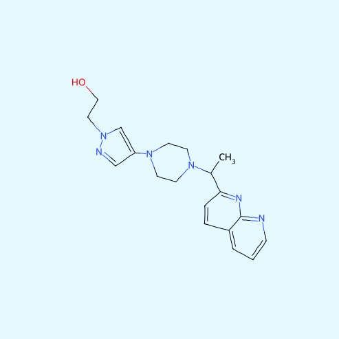 CC(c1ccc2cccnc2n1)N1CCN(c2cnn(CCO)c2)CC1